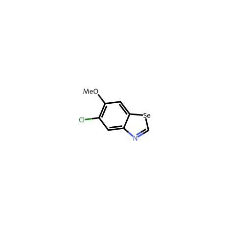 COc1cc2[se]cnc2cc1Cl